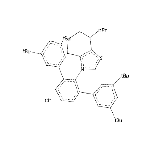 CCCC1CCCc2c1sc[n+]2-c1c(-c2cc(C(C)(C)C)cc(C(C)(C)C)c2)cccc1-c1cc(C(C)(C)C)cc(C(C)(C)C)c1.[Cl-]